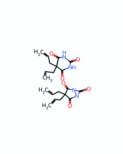 C=CCC1(CC=C)C(=O)N2C(=O)N2C1=O.C=CCC1(CC=C)C(=O)NC(=O)NC1=O